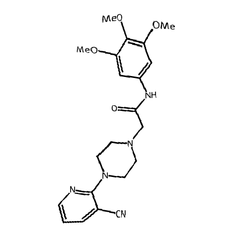 COc1cc(NC(=O)CN2CCN(c3ncccc3C#N)CC2)cc(OC)c1OC